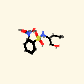 CC[C@H](CO)NS(=O)(=O)c1ccccc1[N+](=O)[O-]